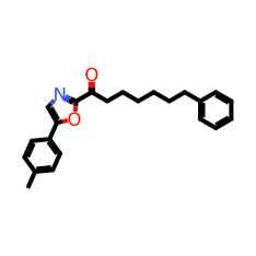 Cc1ccc(-c2cnc(C(=O)CCCCCCc3ccccc3)o2)cc1